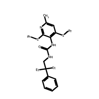 CCC(CC)(CNC(=O)Nc1c(SC(C)C)cc(C)nc1SC(C)C)c1ccccc1